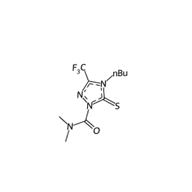 CCCCn1c(C(F)(F)F)nn(C(=O)N(C)C)c1=S